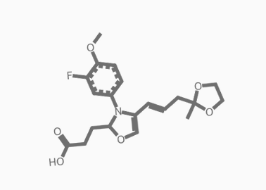 COc1ccc(N2C(/C=C/CC3(C)OCCO3)=COC2CCC(=O)O)cc1F